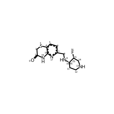 O=C1CSc2ccc(CN[C@@H]3CCNC[C@@H]3F)nc2N1